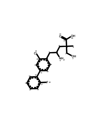 CC(CO)(CC(N)Cc1ccc(-c2ccccc2F)cc1Cl)C(=O)O